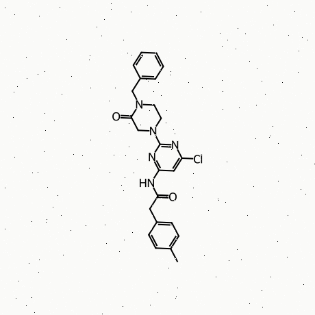 Cc1ccc(CC(=O)Nc2cc(Cl)nc(N3CCN(Cc4ccccc4)C(=O)C3)n2)cc1